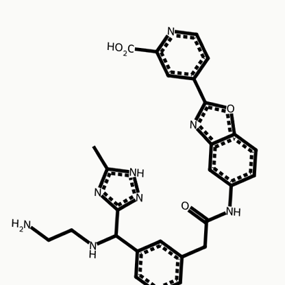 Cc1nc(C(NCCN)c2cccc(CC(=O)Nc3ccc4oc(-c5ccnc(C(=O)O)c5)nc4c3)c2)n[nH]1